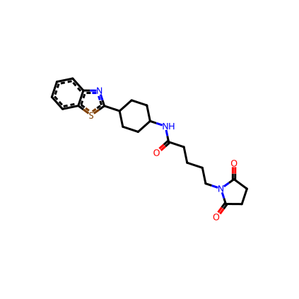 O=C(CCCCN1C(=O)CCC1=O)NC1CCC(c2nc3ccccc3s2)CC1